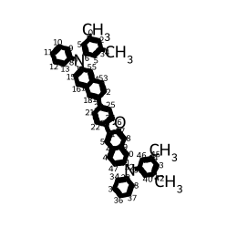 Cc1cc(C)cc(N(c2ccccc2)c2ccc3cc(-c4ccc5c(c4)oc4cc6cc(N(c7ccccc7)c7cc(C)cc(C)c7)ccc6cc45)ccc3c2)c1